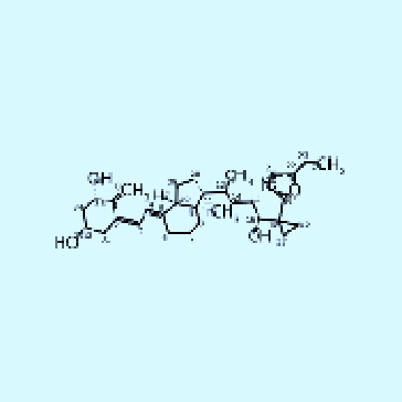 C=C1/C(=C\C=C2/CCC[C@]3(C)[C@@H]([C@@H](C)/C=C/[C@H](O)C4(c5ncc(CC)o5)CC4)CC[C@@H]23)C[C@@H](O)C[C@@H]1O